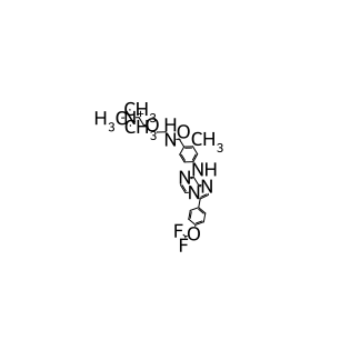 Cc1cc(Nc2nccn3c(-c4ccc(OC(F)F)cc4)cnc23)ccc1C(=O)NCCOCC[N+](C)(C)C